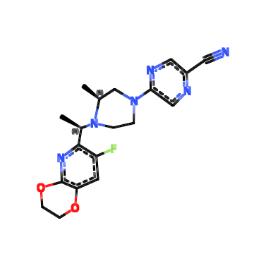 C[C@H](c1nc2c(cc1F)OCCO2)N1CCN(c2cnc(C#N)cn2)C[C@@H]1C